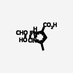 CC(C)Cl.Cc1cc(C(=O)O)[nH]n1.O=CO